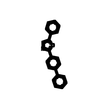 c1ccc(-c2ccc(-c3ncc(-c4ccccc4)o3)cc2)cc1